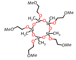 COCCO[Si]1(C)O[Si](C)(OCCOC)O[Si](C)(OCCOC)O[Si](C)(OCCOC)O[Si](C)(OCCOC)O1